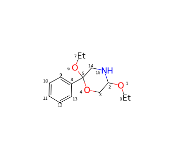 CCOC1COC(OCC)(c2ccccc2)CN1